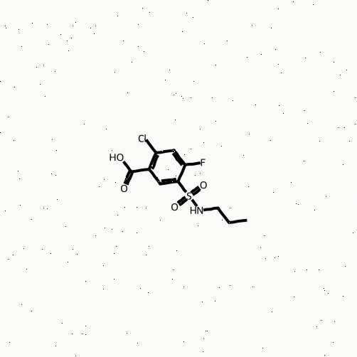 CCCNS(=O)(=O)c1cc(C(=O)O)c(Cl)cc1F